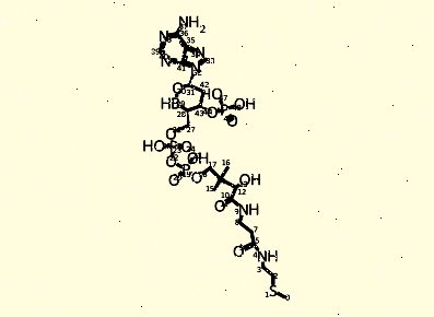 CSCCNC(=O)CCNC(=O)C(O)C(C)(C)COP(=O)(O)OP(=O)(O)OC[C@H]1BO[C@@H](n2cnc3c(N)ncnc32)C[C@H]1OP(=O)(O)O